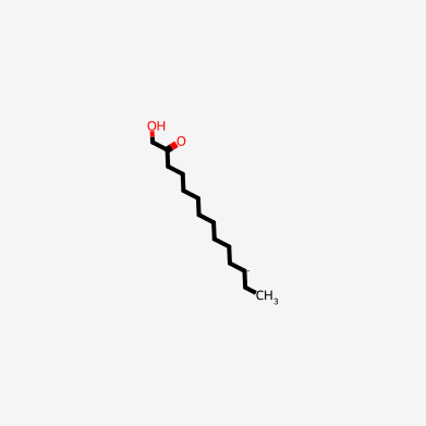 CC[CH]CCCCCCCCCC(=O)CO